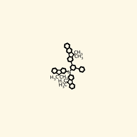 CC1(C)c2ccccc2-c2ccc(N(c3cc(-c4ccccc4)cc(-c4ccc5c(c4)C(C)(C)c4cc6ccccc6cc4-5)c3)c3ccc4c(c3)C(C)(C)c3ccccc3-4)cc21